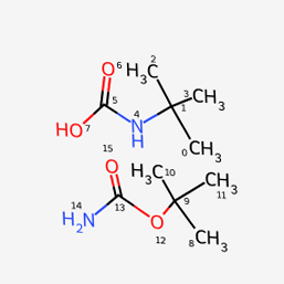 CC(C)(C)NC(=O)O.CC(C)(C)OC(N)=O